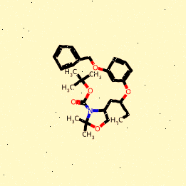 CCC(CC1COC(C)(C)N1C(=O)OC(C)(C)C)Oc1cccc(OCc2ccccc2)c1